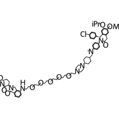 COc1cc2c(cc1OC(C)C)[C@H](c1ccc(Cl)cc1)N(c1ccc(N(C)CC3CCC(N4CCN(CCOCCOCCOCCOCCOCCNc5cccc6c5CN(C5CCC(=O)NC5=O)C6=O)CC4)CC3)cc1)C(=O)C2